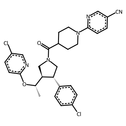 C[C@H](Oc1ccc(Cl)cn1)[C@H]1CN(C(=O)C2CCN(c3ccc(C#N)cn3)CC2)C[C@@H]1c1ccc(Cl)cc1